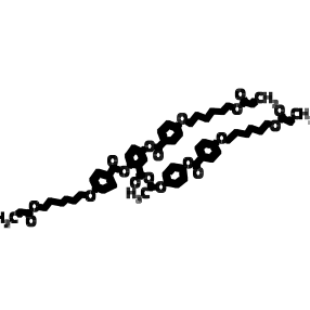 C=CC(=O)OCCCCCCOc1ccc(C(=O)Oc2ccc(OC(C)OC(=O)c3cc(OC(=O)c4ccc(OCCCCCCOC(=O)C=C)cc4)ccc3OC(=O)c3ccc(OCCCCCCOC(=O)C=C)cc3)cc2)cc1